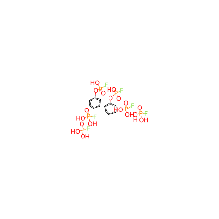 O=P(O)(F)Oc1ccccc1.O=P(O)(F)Oc1ccccc1.O=P(O)(O)F.O=P(O)(O)F.O=P(O)(O)F.O=P(O)(O)F